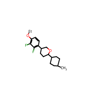 CCOc1ccc(C2CCC(C3CCC(C)CC3)OC2)c(F)c1F